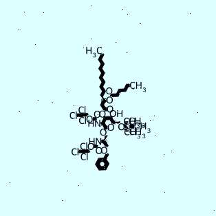 CCCCCCCCCCC[C@H](CC(=O)O[C@H]1[C@H](O)[C@@H](CO[Si](C)(C)C(C)(C)C)O[C@@H](OC[C@@H](COCc2ccccc2)NC(=O)OCC(Cl)(Cl)Cl)[C@@H]1NC(=O)OCC(Cl)(Cl)Cl)OC(=O)CCCCC